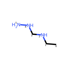 CCNCNN